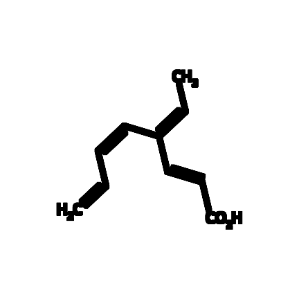 C=C\C=C/C(/C=C/C(=O)O)=C\C